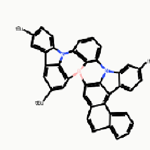 CC(C)(C)c1ccc2c(c1)c1cc(C(C)(C)C)cc3c1n2-c1cccc2c1B3c1cc3ccc4ccccc4c3c3c4ccc(C(C)(C)C)cc4n-2c13